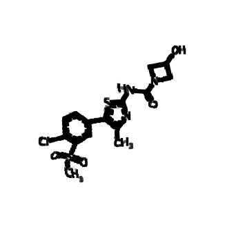 Cc1nc(NC(=O)N2CC(O)C2)sc1-c1ccc(Cl)c(S(C)(=O)=O)c1